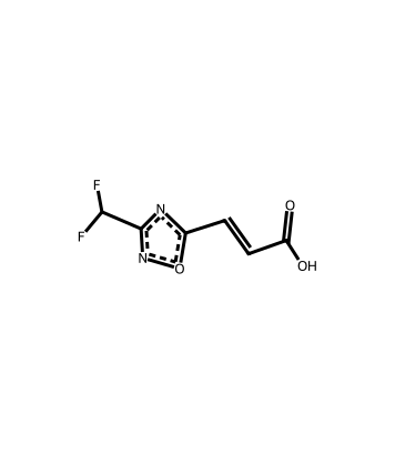 O=C(O)C=Cc1nc(C(F)F)no1